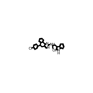 OCC(Cc1c[nH]c2ccccc12)Nc1ncc2c(n1)-c1ccccc1C(c1ccc(Cl)cc1)C2